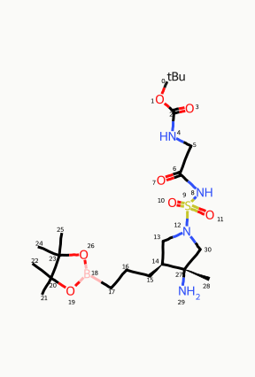 CC(C)(C)OC(=O)NCC(=O)NS(=O)(=O)N1C[C@H](CCCB2OC(C)(C)C(C)(C)O2)[C@@](C)(N)C1